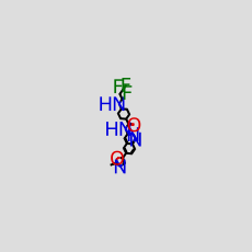 Cc1ncc(-c2ccc3nnc(NC(=O)C4CCC(NCCC(F)(F)F)CC4)cc3c2)o1